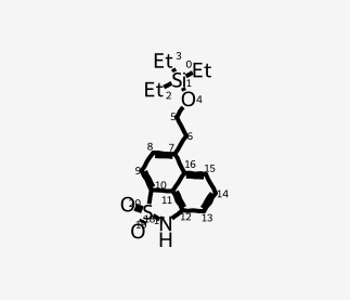 CC[Si](CC)(CC)OCCc1ccc2c3c(cccc13)NS2(=O)=O